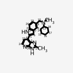 Cc1nc2c(-c3cc4cc(CN(C)C5CCCCC5)ccc4[nH]3)ccnc2[nH]1